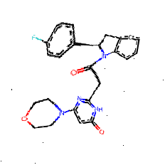 O=C(Cc1nc(N2CCOCC2)cc(=O)[nH]1)N1c2ccccc2C[C@@H]1c1ccc(F)cc1